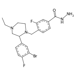 CCN1CCN(Cc2ccc(C(=O)NN)cc2F)C(c2ccc(F)c(Br)c2)C1